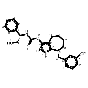 O=C(N[C@H](CO)c1ccccc1)Oc1n[nH]c2c1CCCC[C@H]2Cc1cccc(Cl)c1